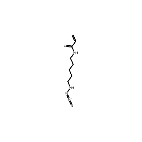 C=CC(=O)NCCCCCNN=[N+]=[N-]